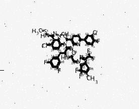 CSNc1nn(C)c2c(-n3c(C(Cc4cc(F)cc(F)c4)NC(=O)Cn4nc(C(F)F)c5c4C(F)(F)[C@@H](C)C5)nc4nc(-c5ccc(F)c(Cl)c5)ccc4c3=O)ccc(Cl)c12